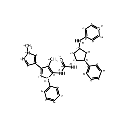 Cc1c(-c2cnn(C)c2)nn(-c2ccccc2)c1NC(=O)N[C@@H]1C[C@@H](Nc2ccncc2)C[C@H]1c1ccccc1